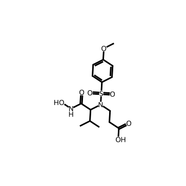 COc1ccc(S(=O)(=O)N(CCC(=O)O)C(C(=O)NO)C(C)C)cc1